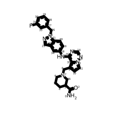 NC(=O)C1CCCN(Cc2ccn3ncnc(Nc4ccc5c(cnn5Cc5cccc(F)c5)c4)c23)C1